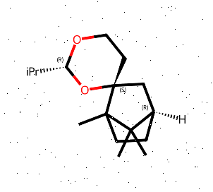 CC(C)[C@@H]1OCC[C@]2(C[C@H]3CCC2(C)C3(C)C)O1